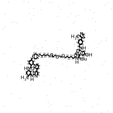 Cc1ccc(NC(=O)c2ccc(CN3CCN(CCCCCCOCCOCCOCCCCCC(=O)N[C@H](C(=O)N4C[C@H](O)C[C@H]4C(=O)NCc4ccc(-c5scnc5C)cc4)C(C)(C)C)CC3)cc2)cc1Nc1nccc(-c2cccnc2)n1